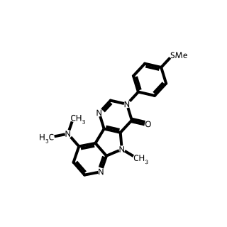 CSc1ccc(-n2cnc3c4c(N(C)C)ccnc4n(C)c3c2=O)cc1